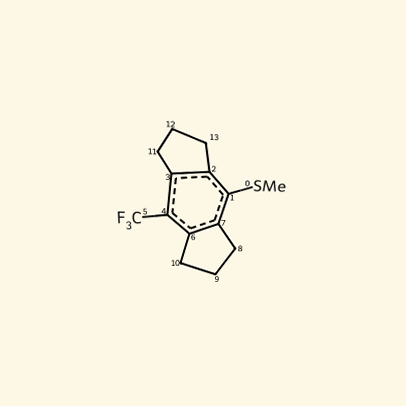 CSc1c2c(c(C(F)(F)F)c3c1CCC3)CCC2